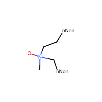 CCCCCCCCCCC[N+](C)([O-])CCCCCCCCCC